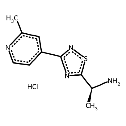 Cc1cc(-c2nsc([C@H](C)N)n2)ccn1.Cl